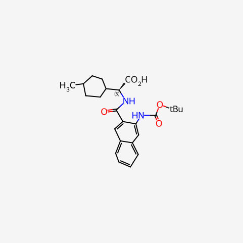 CC1CCC([C@H](NC(=O)c2cc3ccccc3cc2NC(=O)OC(C)(C)C)C(=O)O)CC1